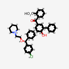 Clc1ccc([C@@H](OCCN2CCCCC2)c2ccccc2)cc1.O=C(O)c1ccccc1C(=O)c1ccc(O)c(-c2ccccc2)c1